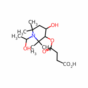 CC(O)N1C(C)(C)CC(O)C(OC(=O)CCC(=O)O)C1(C)C